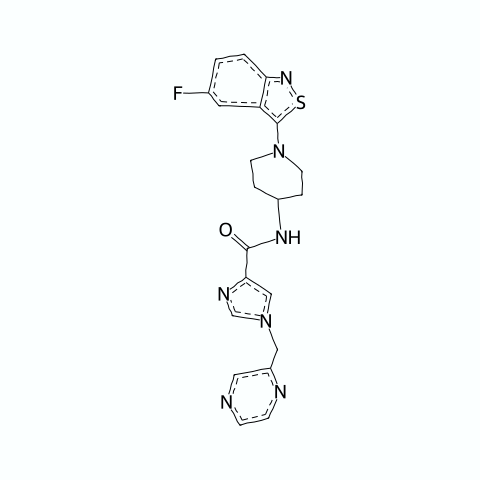 O=C(NC1CCN(c2snc3ccc(F)cc23)CC1)c1cn(Cc2cnccn2)cn1